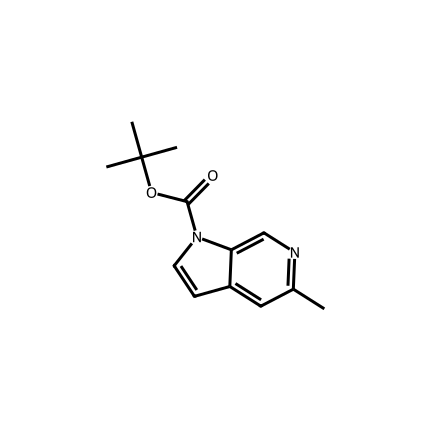 Cc1cc2ccn(C(=O)OC(C)(C)C)c2cn1